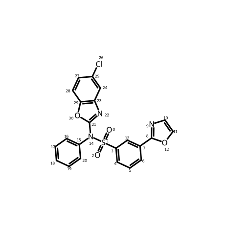 O=S(=O)(c1cccc(-c2ncco2)c1)N(c1ccccc1)c1nc2cc(Cl)ccc2o1